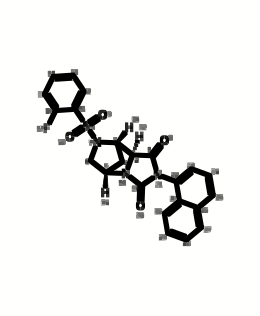 O=C1[C@@H]2[C@@H]3C[C@@H](CN3S(=O)(=O)c3ccccc3F)N2C(=O)N1c1cccc2ccccc12